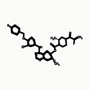 C=C(F)C(=O)N1CCN(C(=O)Oc2cc3c(Nc4ccc(OCc5ccc(F)cc5)c(Cl)c4)ncnc3cc2OC)[C@H](C)C1